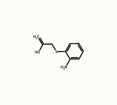 C=C(O)CSc1ccccc1N